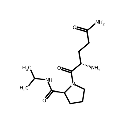 CC(C)NC(=O)[C@@H]1CCCN1C(=O)[C@@H](N)CCC(N)=O